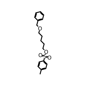 Cc1ccc(S(=O)(=O)OCCCCCOCc2ccccc2)cc1